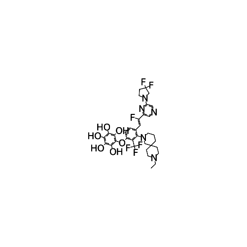 CCN1CCC2(CCCN(c3c(/C=C(\F)c4cncc(N5CCC(F)(F)C5)n4)ccc(Oc4c(O)c(O)c(O)c(O)c4O)c3C(F)(F)F)C2)CC1